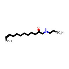 CCCCCCCC/C=C\CCCCCCCC(=O)CNCCS(=O)(=O)O